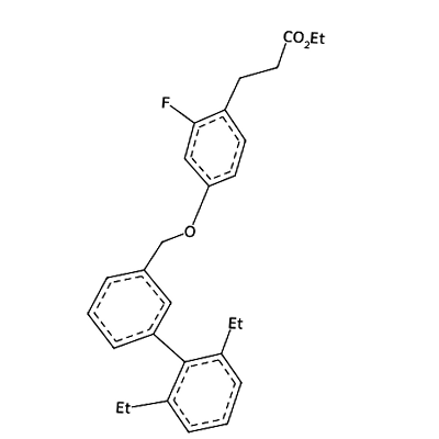 CCOC(=O)CCc1ccc(OCc2cccc(-c3c(CC)cccc3CC)c2)cc1F